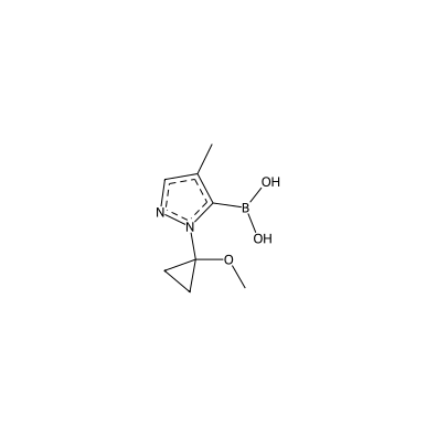 COC1(n2ncc(C)c2B(O)O)CC1